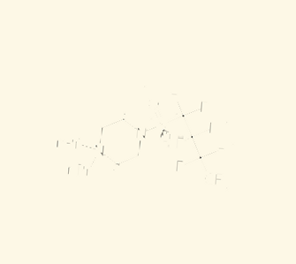 CCC[N+]1(CCC)CCN(S(=O)(=O)C(F)(F)C(F)(F)C(F)(F)C(F)(F)F)CC1.[I-]